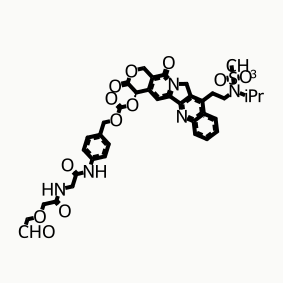 CC(C)N(CCc1c2c(nc3ccccc13)-c1cc3c(c(=O)n1C2)COC(=O)[C@H]3OC(=O)OCc1ccc(NC(=O)CNC(=O)COCC=O)cc1)S(C)(=O)=O